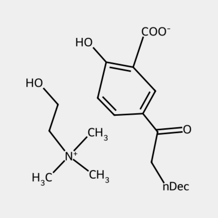 CCCCCCCCCCCC(=O)c1ccc(O)c(C(=O)[O-])c1.C[N+](C)(C)CCO